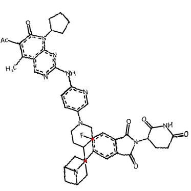 CC(=O)c1c(C)c2cnc(Nc3ccc(N4CCC(CN5C6CC5CN(c5cc7c(cc5F)C(=O)N(C5CCC(=O)NC5=O)C7=O)C6)CC4)cn3)nc2n(C2CCCC2)c1=O